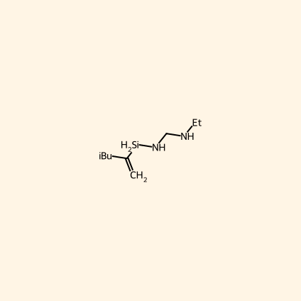 C=C([SiH2]NCNCC)C(C)CC